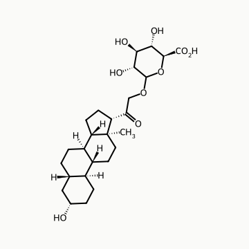 C[C@]12CC[C@H]3[C@@H](CC[C@H]4C[C@@H](O)CC[C@@H]43)[C@@H]1CC[C@@H]2C(=O)COC1O[C@H](C(=O)O)[C@@H](O)[C@H](O)[C@H]1O